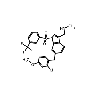 CNCc1cn(S(=O)(=O)c2cccc(C(F)(F)F)c2)c2cc(Cc3ccc(OC)nc3Cl)ccc12